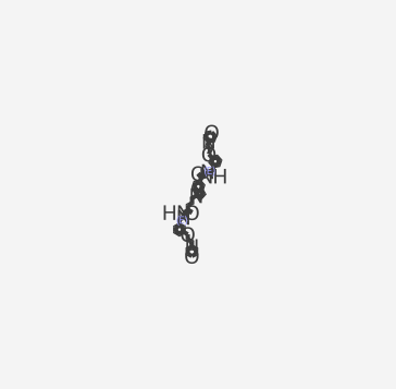 O=C(CCCn1ccc2cc(C(=O)N/N=C/c3cccc(OCCN4CCOCC4)c3)ccc21)N/N=C/c1cccc(OCCN2CCOCC2)c1